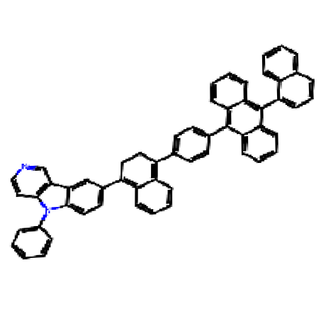 c1ccc(-n2c3ccncc3c3cc(C4=c5ccccc5=C(c5ccc(-c6c7ccccc7c(-c7cccc8ccccc78)c7ccccc67)cc5)CC4)ccc32)cc1